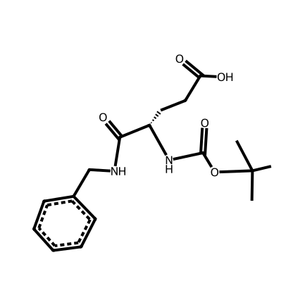 CC(C)(C)OC(=O)N[C@@H](CCC(=O)O)C(=O)NCc1ccccc1